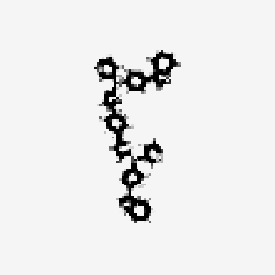 c1cncc(N(c2ccc(-c3csc4ccccc34)cc2)c2ccc(-c3ccc(-c4ccc(N(c5ccc(-c6csc7ccccc67)cc5)c5cccnc5)s4)cc3)s2)c1